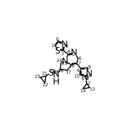 c1csc(C2=NCC(c3cnn(C4CC4)c3)=C3CC(NSC4CC4)CN23)n1